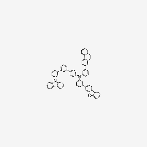 c1cc(-c2ccc(N(c3cccc(-c4ccc5c(ccc6ccccc65)c4)c3)c3cccc(-c4ccc5c(c4)oc4ccccc45)c3)cc2)cc(-c2cccc(-n3c4ccccc4c4ccccc43)c2)c1